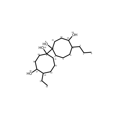 CCCC1CCCC(O)(C2(O)CCCC(CC)C(O)CC2)CCC1O